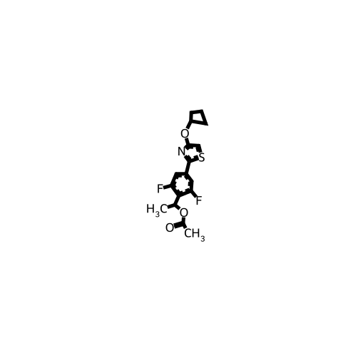 CC(=O)OC(C)c1c(F)cc(-c2nc(OC3CCC3)cs2)cc1F